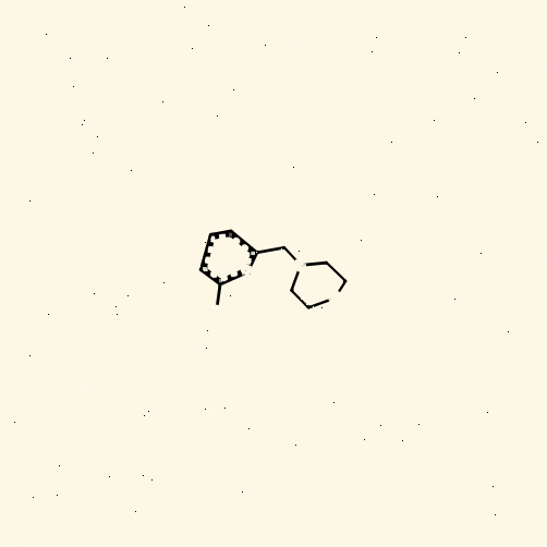 Ic1cccc(CN2CCOCC2)n1